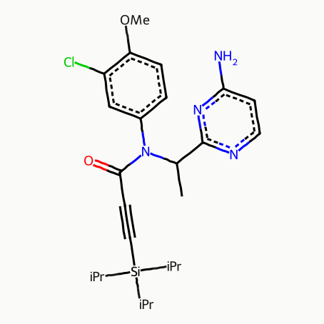 COc1ccc(N(C(=O)C#C[Si](C(C)C)(C(C)C)C(C)C)C(C)c2nccc(N)n2)cc1Cl